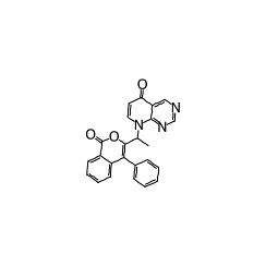 CC(c1oc(=O)c2ccccc2c1-c1ccccc1)n1ccc(=O)c2cncnc21